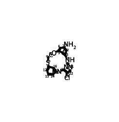 Nc1cc2cc(c1)OCCSc1cccc(c1)Nc1nc(ncc1Cl)N2